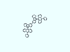 C1=CCCC(C2=c3ccccc3=C(n3c4c(c5cc(-c6ccc7c(c6)c6c(n7C7=c8ccccc8=C(C8=CC=CCC8)C8C=CC=CC78)CCC=C6)ccc53)C=CCC4)C3C=CC=CC23)=C1